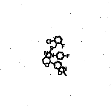 Cc1nc2ccc(C3OCCc4nc(SCc5c(F)cccc5Cl)n(-c5ccc(F)cc5)c43)cc2o1